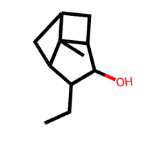 CCC1C(O)C2CC3CC1C32C